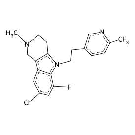 CN1CCc2c(c3cc(Cl)cc(F)c3n2CCc2ccc(C(F)(F)F)nc2)C1